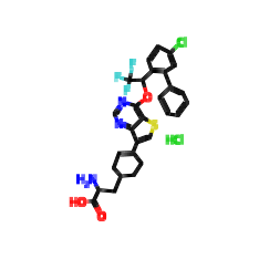 Cl.NC(CC1CC=C(c2csc3c(OC(c4ccc(Cl)cc4-c4ccccc4)C(F)(F)F)ncnc23)CC1)C(=O)O